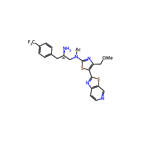 COCc1nc(N(C[C@H](N)Cc2ccc(C(F)(F)F)cc2)C(C)=O)sc1-c1nc2ccncc2s1